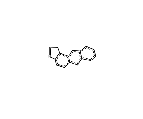 C1=Nc2ccc3cc4ccccc4cc3c2C1